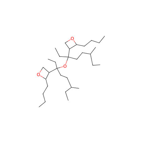 CCCCC1OCC1C(CC)(CCC(C)CC)OC(CC)(CCC(C)CC)C1COC1CCCC